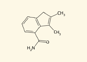 CC1=C(C)c2c(cccc2C(N)=O)C1